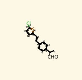 CC(C=O)c1ccc(C=Cc2ccc(Cl)s2)cc1